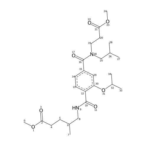 COC(=O)CCC(C)CNC(=O)c1ccc(C(=O)N(CCC(=O)OC)CC(C)C)cc1OC(C)C